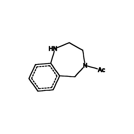 CC(=O)N1CCNc2ccccc2C1